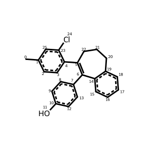 Cc1ccc(C2=C(c3ccc(O)cc3)c3ccccc3CCC2)c(Cl)c1